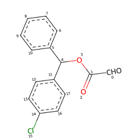 O=CC(=O)OC(c1ccccc1)c1ccc(Cl)cc1